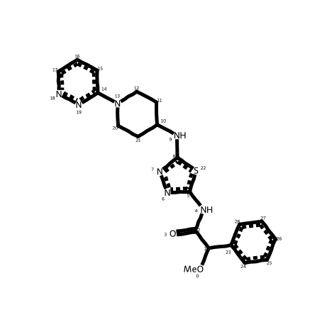 COC(C(=O)Nc1nnc(NC2CCN(c3cccnn3)CC2)s1)c1ccccc1